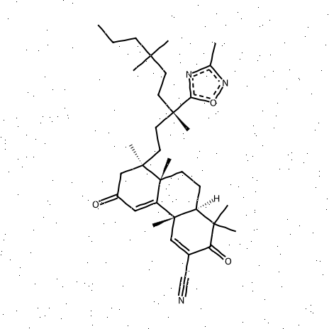 CCCC(C)(C)CC[C@@](C)(CC[C@]1(C)CC(=O)C=C2[C@@]3(C)C=C(C#N)C(=O)C(C)(C)[C@@H]3CC[C@]21C)c1nc(C)no1